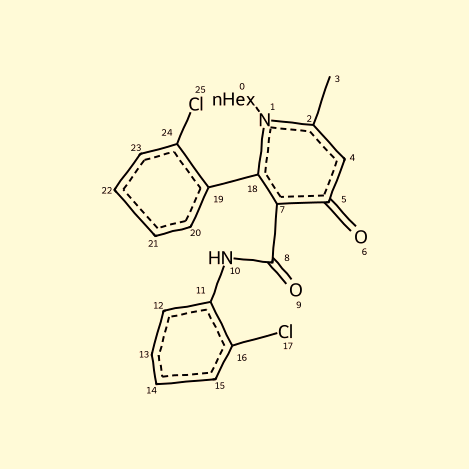 CCCCCCn1c(C)cc(=O)c(C(=O)Nc2ccccc2Cl)c1-c1ccccc1Cl